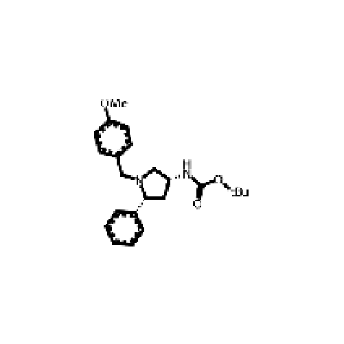 COc1ccc(CN2C[C@H](NC(=O)OC(C)(C)C)C[C@@H]2c2ccccc2)cc1